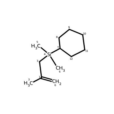 C=C(C)C[Si](C)(C)C1CCCCC1